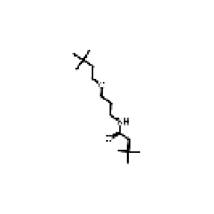 CC(C)(C)CCOCCCNC(=O)CC(C)(C)C